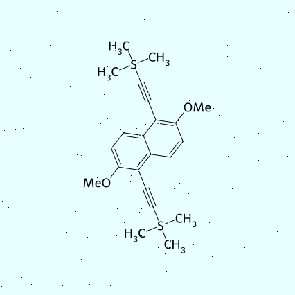 COc1ccc2c(C#CS(C)(C)C)c(OC)ccc2c1C#CS(C)(C)C